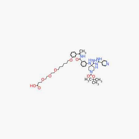 C[C@@H](NC(=O)c1cccc(NC2(C(=N)NC(=N)c3ccncc3)CCN(C(=O)OC(C)(C)C)CC2)c1)c1cccc(OCCCCCCOCCOCCOCCC(=O)O)c1